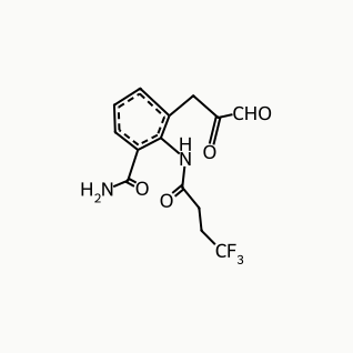 NC(=O)c1cccc(CC(=O)C=O)c1NC(=O)CCC(F)(F)F